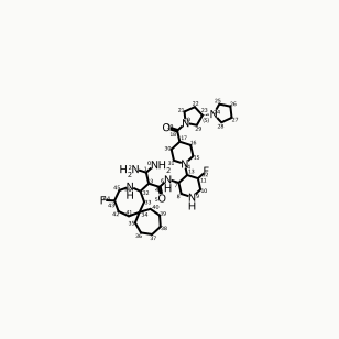 NC(N)C(C(=O)NC1CNCC(F)C1N1CCC(C(=O)N2CC[C@H](N3CCCC3)C2)CC1)C1CC2(CCCCCC2)CCC(F)CN1